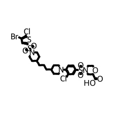 O=C(O)C1CN(S(=O)(=O)c2ccc(N3CCC(CCCC4CCN(S(=O)(=O)c5cc(Br)c(Cl)s5)CC4)CC3)c(Cl)c2)CCO1